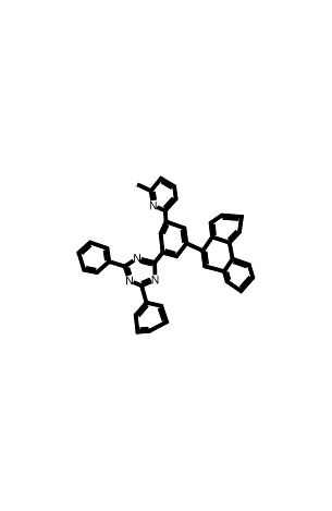 Cc1cccc(-c2cc(-c3nc(-c4ccccc4)nc(-c4ccccc4)n3)cc(-c3cc4ccccc4c4ccccc34)c2)n1